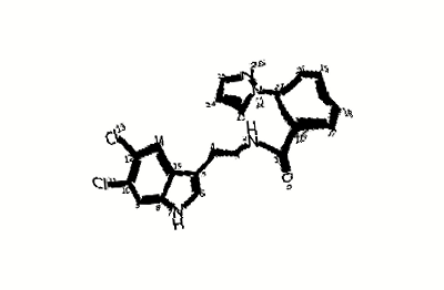 O=C(NCCc1c[nH]c2cc(Cl)c(Cl)cc12)c1ccccc1-n1cccn1